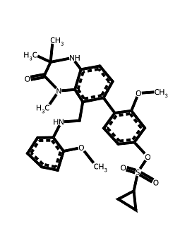 COc1ccccc1NCc1c(-c2ccc(OS(=O)(=O)C3CC3)cc2OC)ccc2c1N(C)C(=O)C(C)(C)N2